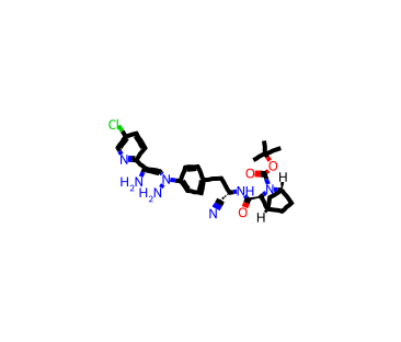 CC(C)(C)OC(=O)N1[C@@H]2CC[C@@H](C2)[C@H]1C(=O)N[C@H](C#N)Cc1ccc(N(N)/C=C(\N)c2ccc(Cl)cn2)cc1